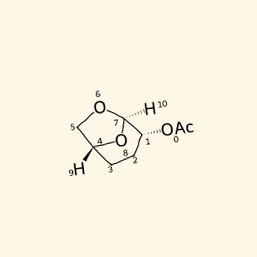 CC(=O)O[C@@H]1CC[C@@H]2CO[C@@H]1O2